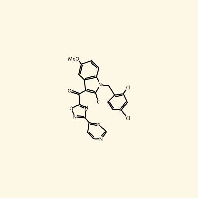 COc1ccc2c(c1)c(C(=O)c1nc(-c3ccncn3)no1)c(Cl)n2Cc1ccc(Cl)cc1Cl